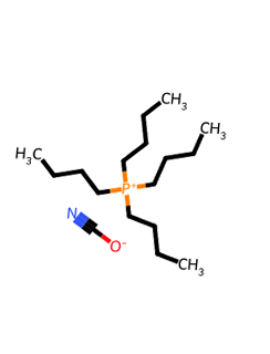 CCCC[P+](CCCC)(CCCC)CCCC.N#C[O-]